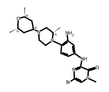 C[C@@H]1C[C@@H](N2CCN(c3ccc(Nc4nc(Br)cn(C)c4=O)cc3N)[C@@H](C)C2)C[C@H](C)O1